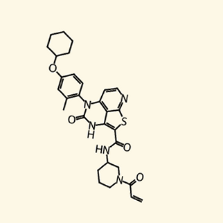 C=CC(=O)N1CCCC(NC(=O)c2sc3nccc4c3c2NC(=O)N4c2ccc(OC3CCCCC3)cc2C)C1